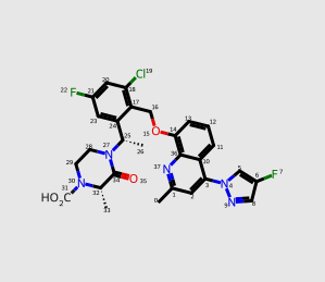 Cc1cc(-n2cc(F)cn2)c2cccc(OCc3c(Cl)cc(F)cc3[C@H](C)N3CCN(C(=O)O)[C@@H](C)C3=O)c2n1